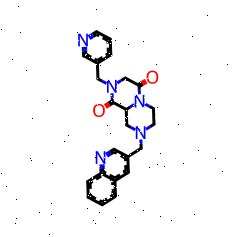 O=C1C2CN(Cc3cnc4ccccc4c3)CCN2C(=O)CN1Cc1cccnc1